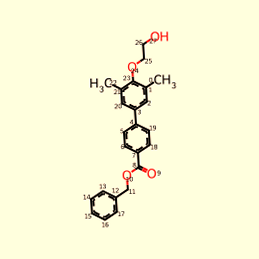 Cc1cc(-c2ccc(C(=O)OCc3ccccc3)cc2)cc(C)c1OCCO